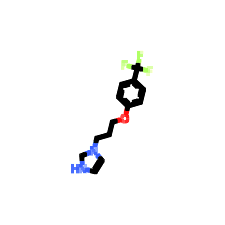 FC(F)(F)c1ccc(OCCCN2C=CNC2)cc1